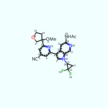 COC1(c2cc(C#N)cc(-c3cn([C@H]4CC4(F)F)c4cnc(NC(C)=O)cc34)n2)CCOC1